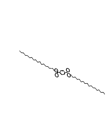 CCCCCCCCCCCCCCCCCCOC(=O)c1ccc(C(=O)OCCCCCCCCCCCCCCCCCC)cc1